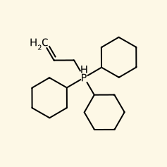 C=CC[PH](C1CCCCC1)(C1CCCCC1)C1CCCCC1